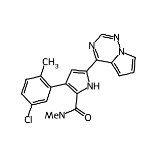 CNC(=O)c1[nH]c(-c2ncnn3cccc23)cc1-c1cc(Cl)ccc1C